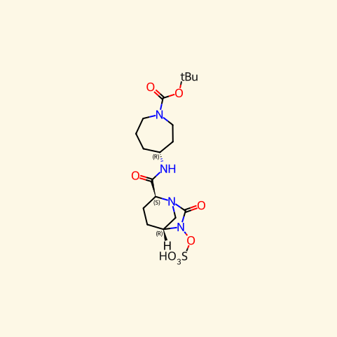 CC(C)(C)OC(=O)N1CCC[C@@H](NC(=O)[C@@H]2CC[C@@H]3CN2C(=O)N3OS(=O)(=O)O)CC1